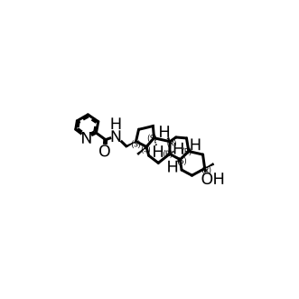 C[C@@]1(O)CC[C@H]2[C@H](CC[C@@H]3[C@@H]2CC[C@]2(C)[C@@H](CNC(=O)c4ccccn4)CC[C@@H]32)C1